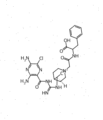 N=C(NC(=O)c1nc(Cl)c(N)nc1N)N[C@@H]1C[N+]2(CC(=O)NC(Cc3ccccc3)C(=O)O)CCC1CC2